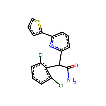 NC(=O)C(c1cccc(-c2cccs2)n1)c1c(Cl)cccc1Cl